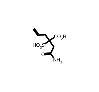 C=CCC(CC(N)=O)(C(=O)O)S(=O)(=O)O